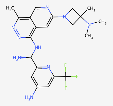 Cc1nnc(N[C@H](N)c2cc(N)cc(C(F)(F)F)n2)c2cc(N3CC(C)(N(C)C)C3)ncc12